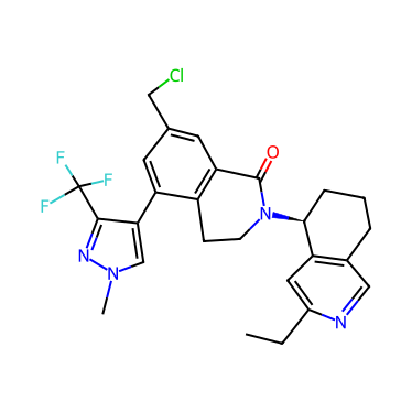 CCc1cc2c(cn1)CCC[C@@H]2N1CCc2c(cc(CCl)cc2-c2cn(C)nc2C(F)(F)F)C1=O